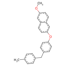 COc1ccc2cc(Oc3ccc(Cc4ccc(C)cc4)cc3)ccc2c1